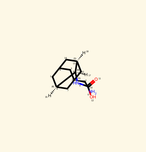 NC[C@]12CC3C[C@H](C1)[C@H](NC(=O)O)[C@@H](C3)C2